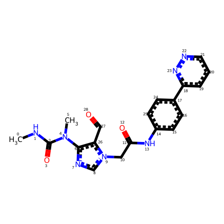 CNC(=O)N(C)c1ncn(CC(=O)Nc2ccc(-c3cccnn3)cc2)c1C=O